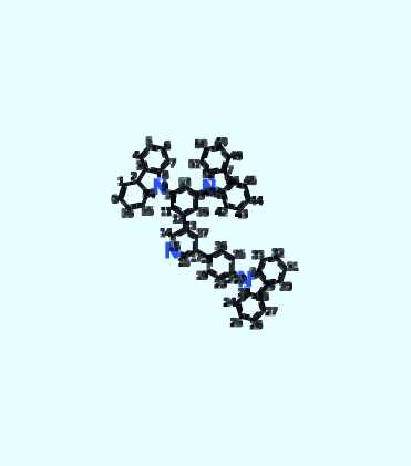 C1=CC2c3ccccc3N(c3cc(-c4cncc(-c5ccc(-n6c7ccccc7c7ccccc76)cc5)c4)cc(-n4c5ccccc5c5ccccc54)c3)C2C=C1